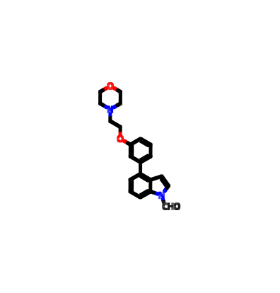 O=Cn1ccc2c(-c3cccc(OCCN4CCOCC4)c3)cccc21